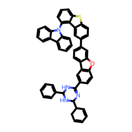 C1=CCC(C2N=C(c3ccc4oc5cc(-c6ccc7sc8cccc(-n9c%10ccccc%10c%10ccccc%109)c8c7c6)ccc5c4c3)NC(c3ccccc3)N2)C=C1